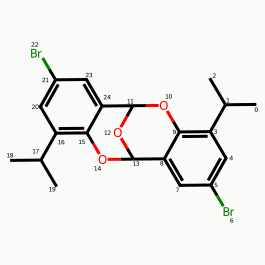 CC(C)c1cc(Br)cc2c1OC1OC2Oc2c(C(C)C)cc(Br)cc21